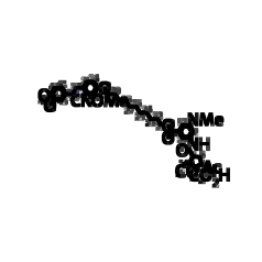 CNc1cc(NC(=O)C2CC(C(C)=O)C(C(=O)O)C2CC(=O)O)cc(C(=O)OCCCCCCCCCCCOc2ccc(/C=C(\C#N)c3ccc4c(c3)OCO4)cc2OC)c1